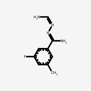 Cc1cc(F)cc(/C(N)=N/N=C\N)c1